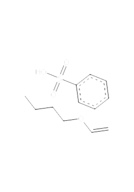 C=COCCCC.O=S(=O)(O)c1ccccc1